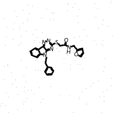 O=C(CSc1nnc2c3ccccc3n(CCc3ccccc3)c2n1)NCc1ccco1